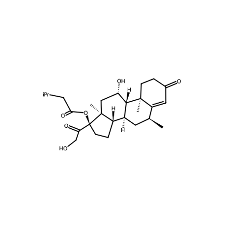 CC(C)CC(=O)O[C@]1(C(=O)CO)CC[C@H]2[C@@H]3C[C@H](C)C4=CC(=O)CC[C@]4(C)[C@H]3[C@@H](O)C[C@@]21C